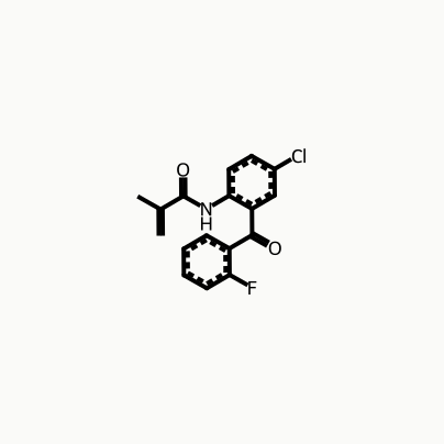 C=C(C)C(=O)Nc1ccc(Cl)cc1C(=O)c1ccccc1F